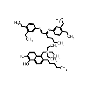 CCCCC(C=Nc1ccc(CC)c(CC)c1)=Nc1ccc(CC)c(CC)c1.CCCCCc1ccc2c(O)c(O)ccc2c1C[Si](CC)(CC)CC